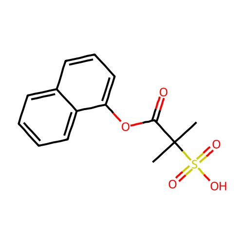 CC(C)(C(=O)Oc1cccc2ccccc12)S(=O)(=O)O